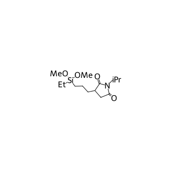 CC[Si](CCCC1CC(=O)N(C(C)C)C1=O)(OC)OC